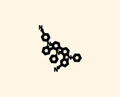 N#Cc1ccc(-n2c3ccccc3c3c2ccc2c4ccc5c(c6cc(C#N)ccc6n5-c5ccccc5)c4n(-c4ccccc4)c23)cc1